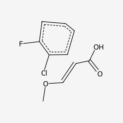 COC=CC(=O)O.Fc1ccccc1Cl